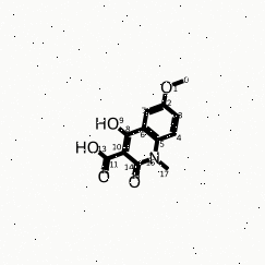 COc1ccc2c(c1)c(O)c(C(=O)O)c(=O)n2C